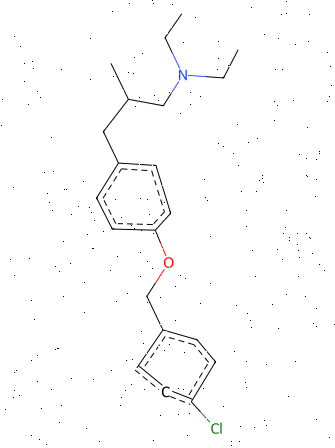 CCN(CC)CC(C)Cc1ccc(OCc2ccc(Cl)cc2)cc1